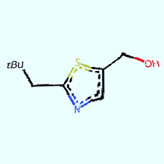 CC(C)(C)Cc1ncc(CO)s1